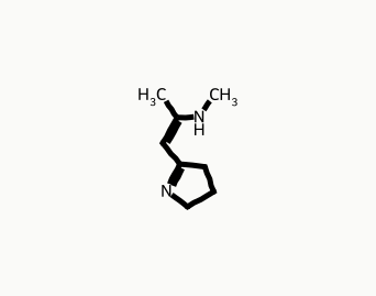 CNC(C)=CC1=NCCC1